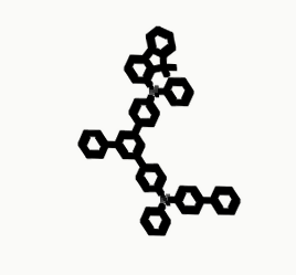 CC1(C)c2ccccc2-c2cccc(N(c3ccccc3)c3ccc(-c4cc(-c5ccccc5)cc(-c5ccc(N(c6ccccc6)c6ccc(-c7ccccc7)cc6)cc5)c4)cc3)c21